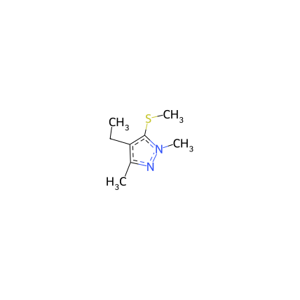 CCc1c(C)nn(C)c1SC